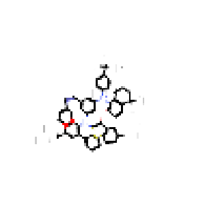 Cc1ccc2sc3c(c2c1)B1c2ccc4c(c2N(c2ccc(C(C)(C)C)cc2)c2cc(/C=C\c5ccccc5)cc(c21)N3c1ccc(C(C)(C)C)cc1-c1ccccc1)C(C)(C)CCC4(C)C